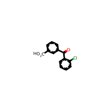 O=C(O)c1cccc(C(=O)c2ccccc2Cl)c1